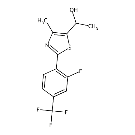 Cc1nc(-c2ccc(C(F)(F)F)cc2F)sc1C(C)O